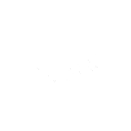 COC1(COc2ccc3nc(-c4nnc5ccccn45)ccc3c2)CCCNCC1